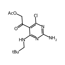 CC(=O)OCC(=O)c1c(Cl)nc(N)nc1NCC(C)(C)C